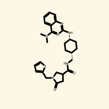 CN(C)c1nc(N[C@H]2CC[C@@H](CNC(=O)C3CC(=O)N(Cc4cccs4)C3)CC2)nc2ccccc12